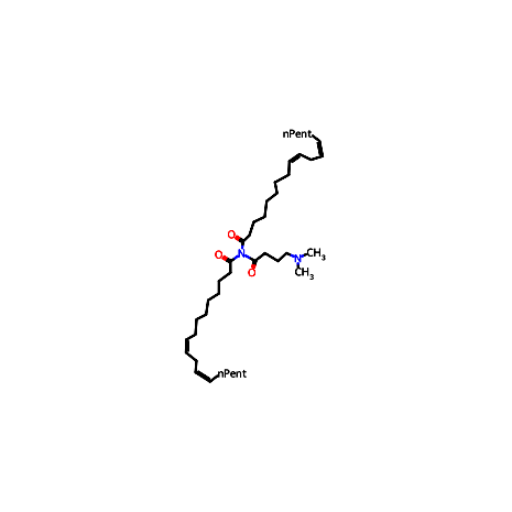 CCCCC/C=C\C/C=C\CCCCCCCC(=O)N(C(=O)CCCCCCC/C=C\C/C=C\CCCCC)C(=O)CCCN(C)C